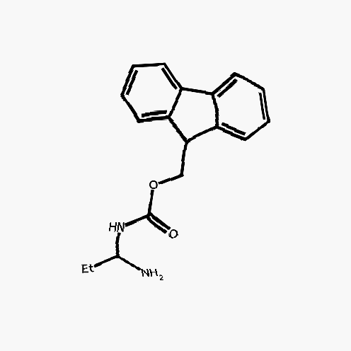 CCC(N)NC(=O)OCC1c2ccccc2-c2ccccc21